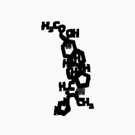 C=C(Cn1ccnc1)[C@H]1CC[C@H]2[C@@H]3CC=C4C[C@](O)(COC)CC[C@@H]4[C@H]3CC[C@]12C